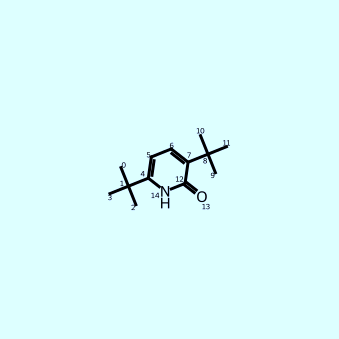 CC(C)(C)c1ccc(C(C)(C)C)c(=O)[nH]1